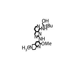 COc1nc2c(cc1Nc1ncc3ccnc(N[C@H](CO)C(C)(C)C)c3n1)CN(C)CC2